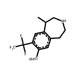 COc1cc2c(cc1C(F)(F)C(F)(F)F)C(C)CNCC2